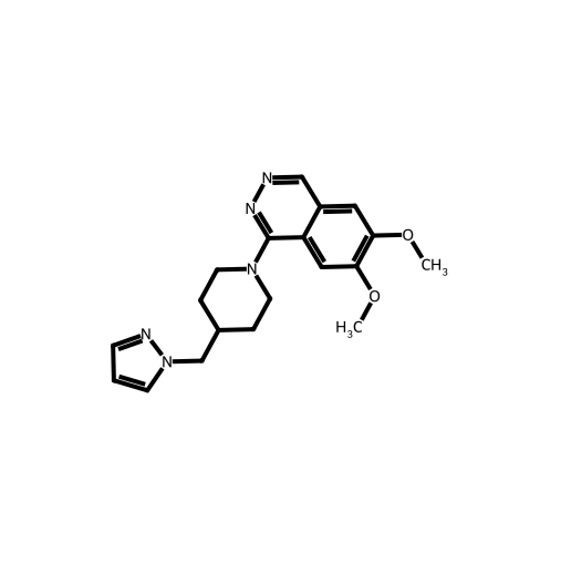 COc1cc2cnnc(N3CCC(Cn4cccn4)CC3)c2cc1OC